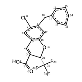 O=C(O)C1=Cc2cc(Cl)c(Cc3ccccc3)cc2O[C@@H]1C(F)(F)F